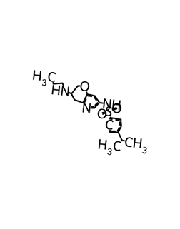 CCCNC1COc2cc(NS(=O)(=O)c3ccc(C(C)C)cc3)cnc2C1